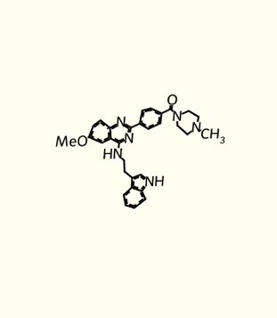 COc1ccc2nc(-c3ccc(C(=O)N4CCN(C)CC4)cc3)nc(NCCc3c[nH]c4ccccc34)c2c1